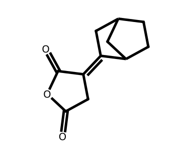 O=C1CC(=C2CC3CCC2C3)C(=O)O1